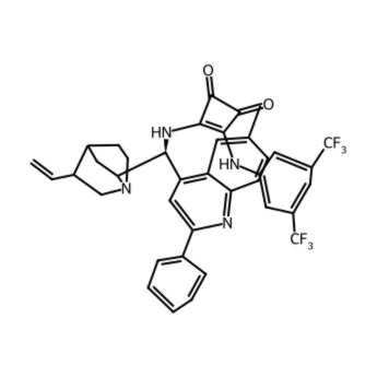 C=CC1CN2CCC1CC2[C@@H](Nc1c(Nc2cc(C(F)(F)F)cc(C(F)(F)F)c2)c(=O)c1=O)c1cc(-c2ccccc2)nc2ccc(C)cc12